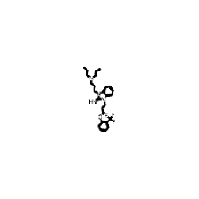 CCCN(CCC)CCCn1c(=N)n(CCCOc2ccccc2C(F)(F)F)c2ccccc21